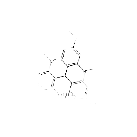 COc1ccc(C(c2ccc(N(C)C)cc2N(C)C)c2c(C(=O)O)cccc2N(C)C)cc1